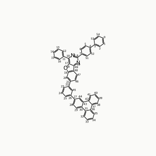 c1ccc(-c2ccc(-c3nc(-c4ccccc4)c4oc5cc(-c6cccc(-c7ccc8c9ccccc9c9ccccc9c8c7)c6)ccc5c4n3)cc2)cc1